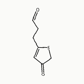 O=CCCC1=CC(=O)CS1